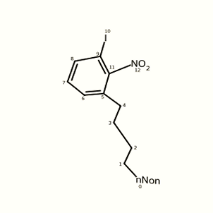 CCCCCCCCCCCCCc1cccc(I)c1[N+](=O)[O-]